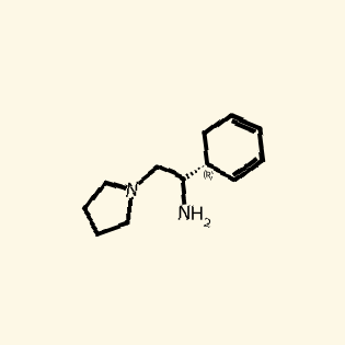 NC(CN1CCCC1)[C@H]1C=CC=CC1